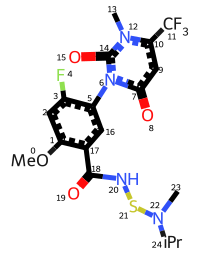 COc1cc(F)c(-n2c(=O)cc(C(F)(F)F)n(C)c2=O)cc1C(=O)NSN(C)C(C)C